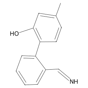 Cc1ccc(-c2ccccc2C=N)c(O)c1